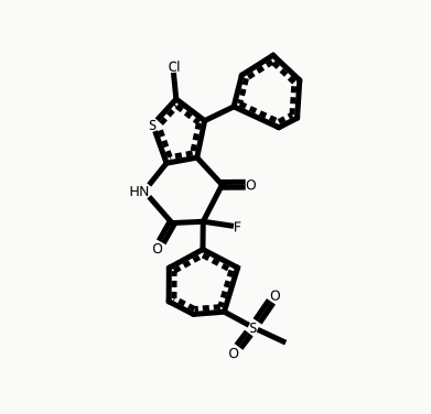 CS(=O)(=O)c1cccc(C2(F)C(=O)Nc3sc(Cl)c(-c4ccccc4)c3C2=O)c1